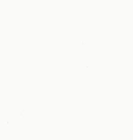 C=C(C)C(=O)OC1(C(F)(F)C(O)(CCOCC)C(F)(F)F)CC2CC1C1CC=CC21